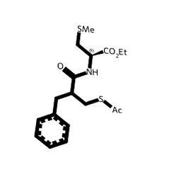 CCOC(=O)[C@H](CSC)NC(=O)C(CSC(C)=O)Cc1ccccc1